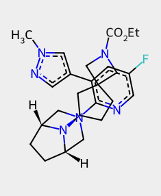 CCOC(=O)N1CC2(CC[C@@H](N3[C@@H]4CC[C@H]3CN(c3ncc(F)cc3-c3cnn(C)c3)C4)C2)C1